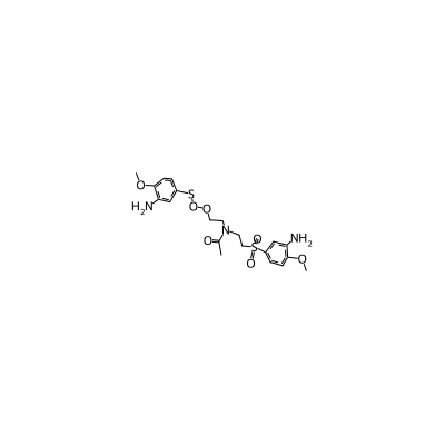 COc1ccc(SOOCCN(CCS(=O)(=O)c2ccc(OC)c(N)c2)C(C)=O)cc1N